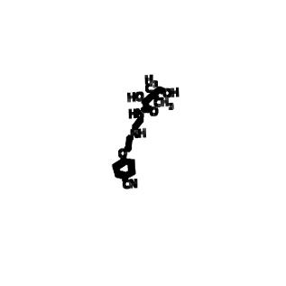 CC(C)(CO)C(O)C(=O)NCCNCCOc1ccc(C#N)cc1